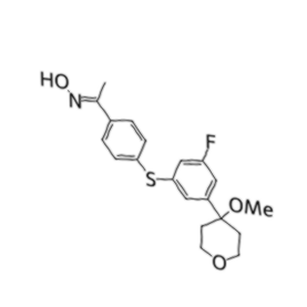 COC1(c2cc(F)cc(Sc3ccc(C(C)=NO)cc3)c2)CCOCC1